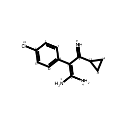 N=C(C(=C(N)N)c1ccc(Cl)cc1)C1CC1